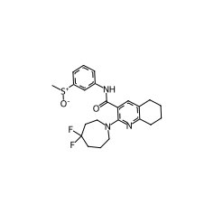 C[S+]([O-])c1cccc(NC(=O)c2cc3c(nc2N2CCCC(F)(F)CC2)CCCC3)c1